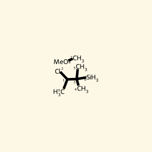 CC(Cl)C(C)(C)[SiH3].COC